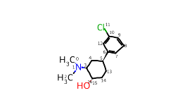 CN(C)[C@H]1C[C@@H](c2cccc(Cl)c2)CC[C@@H]1O